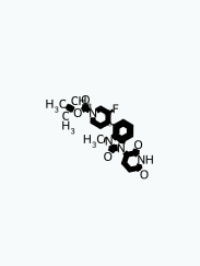 Cn1c(=O)n(C2CCC(=O)NC2=O)c2cccc([C@@H]3CCN(C(=O)OC(C)(C)C)C[C@H]3F)c21